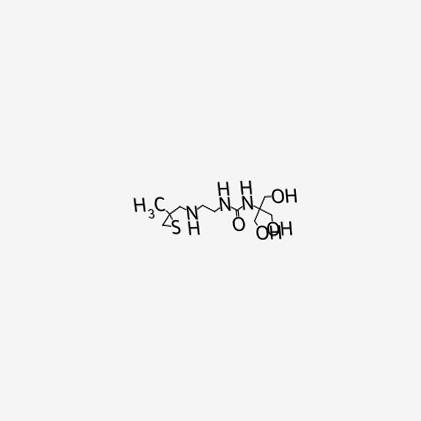 CC1(CNCCNC(=O)NC(CO)(CO)CO)CS1